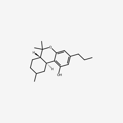 CCCc1cc(O)c2c(c1)OC(C)(C)[C@H]1CCC(C)C[C@H]21